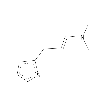 CN(C)C=CCc1cccs1